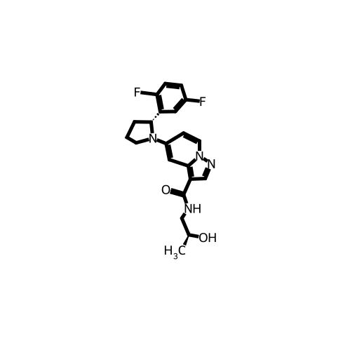 C[C@H](O)CNC(=O)c1cnn2ccc(N3CCC[C@@H]3c3cc(F)ccc3F)cc12